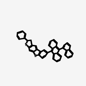 c1ccc(C2Cc3cc4c(cc3S2)sc2ccc(-c3c5ccccc5c(-c5cccc6ccccc56)c5ccccc35)cc24)cc1